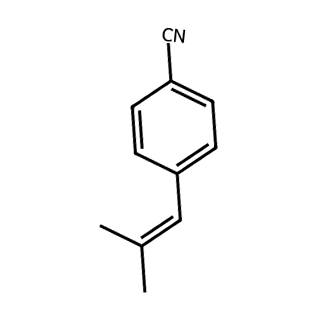 CC(C)=Cc1ccc(C#N)cc1